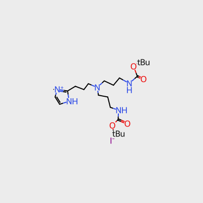 CC(C)(C)OC(=O)NCCCN(CCCNC(=O)OC(C)(C)C)CCCC1=[N+]C=CN1.[I-]